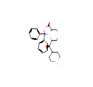 O=CN1CCC(C(=O)C2CNCC3C(=O)OC(c4ccccc4)(c4ccccc4)N32)CC1